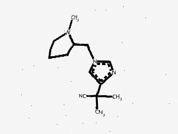 CN1CCCC1Cn1cnc(C(C)(C)C#N)c1